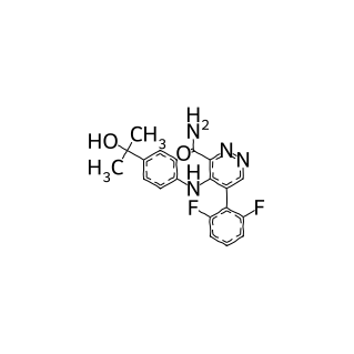 CC(C)(O)c1ccc(Nc2c(-c3c(F)cccc3F)cnnc2C(N)=O)cc1